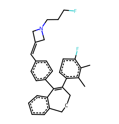 Cc1c(F)ccc(C2=C(c3ccc(C=C4CN(CCCF)C4)cc3)c3ccccc3CCC2)c1C